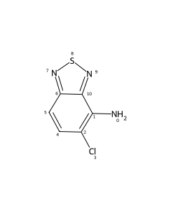 Nc1c(Cl)ccc2nsnc12